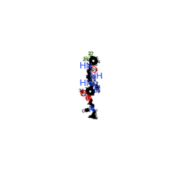 C#CN(CCCOc1cc2ncnc(Nc3cc(CC(=O)Nc4cccc(F)c4F)[nH]n3)c2cc1OC)CC1CC1